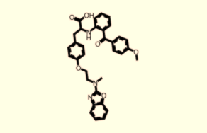 COc1ccc(C(=O)c2ccccc2NC(Cc2ccc(OCCN(C)c3nc4ccccc4o3)cc2)C(=O)O)cc1